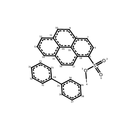 O=S(=O)(OI)c1ccc2ccc3cccc4ccc1c2c34.c1ccc(-c2ccccc2)cc1